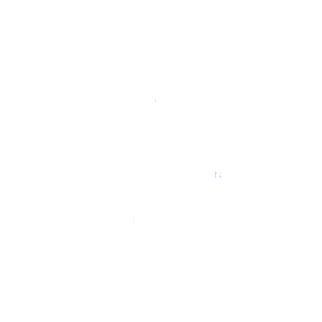 CC(CN1CCCCC1)C(=O)C1=C2C=COC=C2CC1.Cl